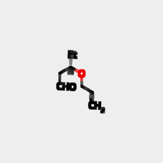 C=CCO[C@@H](CC)CC=O